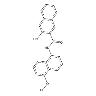 CCOc1cccc2c(NC(=O)c3cc4ccccc4cc3O)cccc12